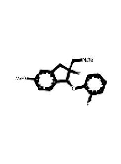 CNCC1(F)Cc2cc(OC)ccc2C1Oc1ccccc1F